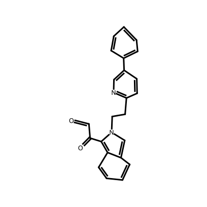 O=CC(=O)c1c2ccccc2cn1CCc1ccc(-c2ccccc2)cn1